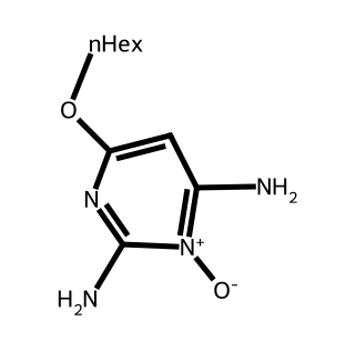 CCCCCCOc1cc(N)[n+]([O-])c(N)n1